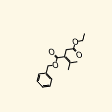 CCOC(=O)CC(C(=O)OCc1ccccc1)=C(C)C